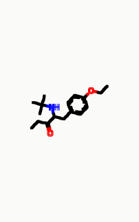 CCOc1ccc(CC(NC(C)(C)C)C(=O)CC)cc1